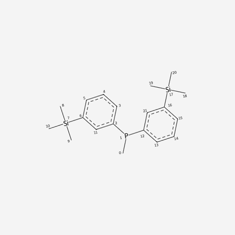 CP(c1cccc([Si](C)(C)C)c1)c1cccc([Si](C)(C)C)c1